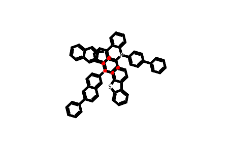 c1ccc(-c2ccc(N(c3ccccc3-c3cccc(N(c4ccc5cc(-c6ccccc6)ccc5c4)c4cccc5c4sc4ccccc45)c3)c3cccc4c3sc3cc5ccccc5cc34)cc2)cc1